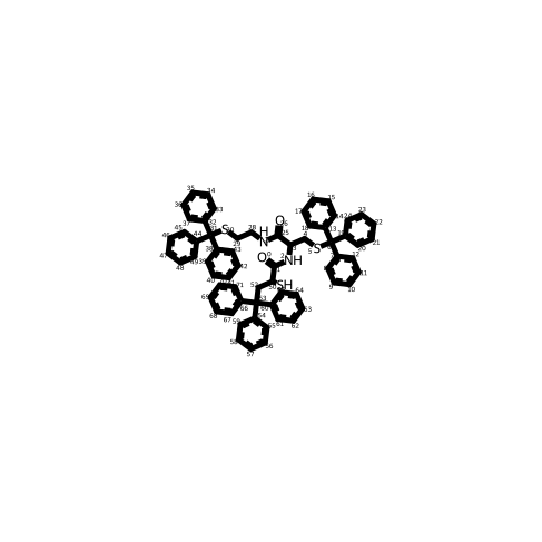 O=C(NC(CSC(c1ccccc1)(c1ccccc1)c1ccccc1)C(=O)NCCSC(c1ccccc1)(c1ccccc1)c1ccccc1)C(S)CC(c1ccccc1)(c1ccccc1)c1ccccc1